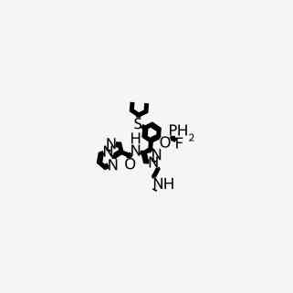 CCC(CC)Sc1ccc(OC(F)P)c(-c2nn(CCNC)cc2NC(=O)c2cnn3cccnc23)c1